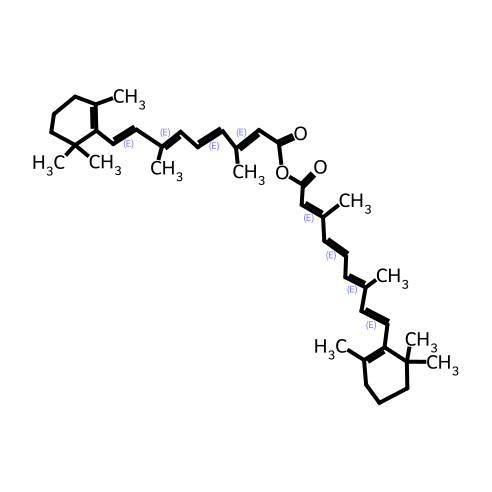 CC1=C(/C=C/C(C)=C/C=C/C(C)=C/C(=O)OC(=O)/C=C(C)/C=C/C=C(C)/C=C/C2=C(C)CCCC2(C)C)C(C)(C)CCC1